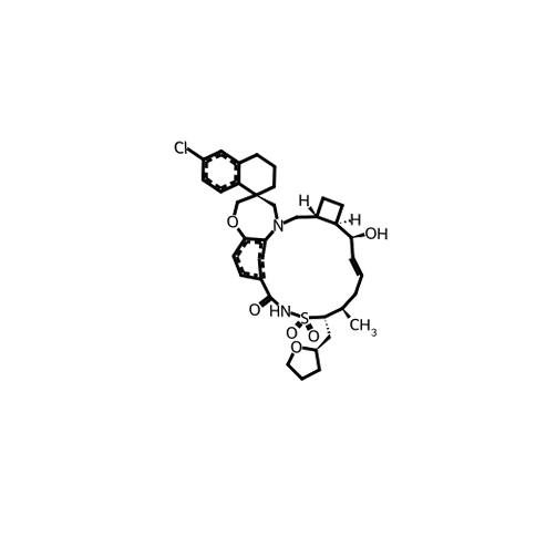 C[C@@H]1C/C=C/[C@H](O)[C@@H]2CC[C@H]2CN2C[C@@]3(CCCc4cc(Cl)ccc43)COc3ccc(cc32)C(=O)NS(=O)(=O)[C@H]1C[C@H]1CCCO1